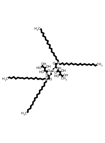 CCCCCCCCCCCCCCCCCCN(CCCCCCCCCCCCCCCCCC)C(=O)[C@H](CSSC[C@H](NC(=O)C(O)C(O)C(O)O)C(=O)N(CCCCCCCCCCCCCCCCCC)CCCCCCCCCCCCCCCCCC)NC(=O)C(O)C(O)C(C)O